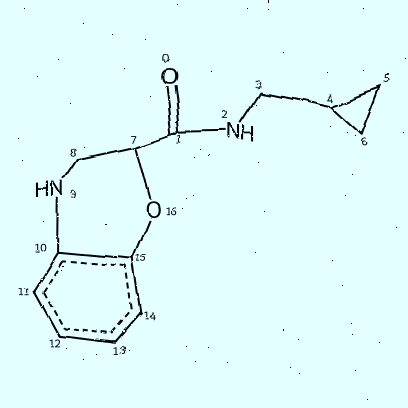 O=C(NCC1CC1)C1CNc2ccccc2O1